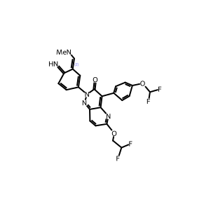 CN/C=C1/C=C(n2nc3ccc(OCC(F)F)nc3c(-c3ccc(OC(F)F)cc3)c2=O)C=CC1=N